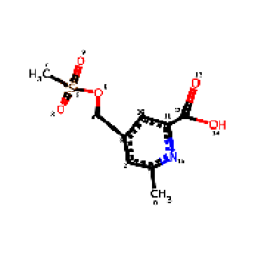 Cc1cc(COS(C)(=O)=O)cc(C(=O)O)n1